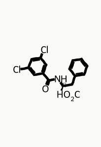 O=C(N[C@@H](Cc1ccccc1)C(=O)O)c1cc(Cl)cc(Cl)c1